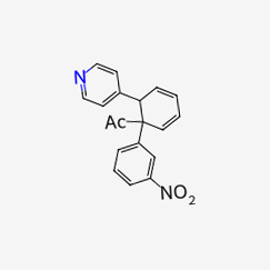 CC(=O)C1(c2cccc([N+](=O)[O-])c2)C=CC=CC1c1ccncc1